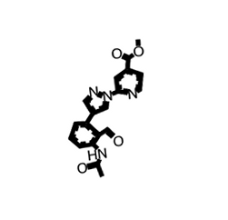 COC(=O)c1ccnc(-n2cc(-c3cccc(NC(C)=O)c3C=O)cn2)c1